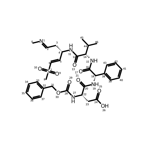 C/N=C/C[C@@H](/C=C/S(C)(=O)=O)NC(=O)[C@@H](NC(=O)[C@@H](NC(=O)[C@H](CC(=O)O)NC(=O)OCc1ccccc1)c1ccccc1)C(C)C